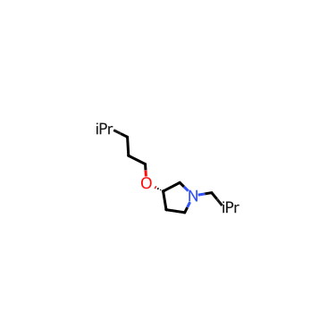 CC(C)CCCO[C@H]1CCN(CC(C)C)C1